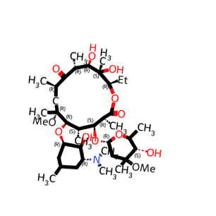 CC[C@H]1OC(=O)[C@H](C)[C@@H](O[C@H]2CC(C)(OC)[C@@H](O)C(C)O2)[C@H](C)[C@@H](O[C@@H]2CC(C)C[C@@H](N(C)C)C2O)[C@](C)(OC)C[C@@H](C)C(=O)[C@H](C)[C@@H](O)[C@]1(C)O